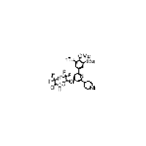 COc1c(C(C)(C)C)cc(-c2cccc(C3CCNCC3)n2)cc1C(C)(C)C.O=C(O)C(F)(F)F.O=C(O)C(F)(F)F